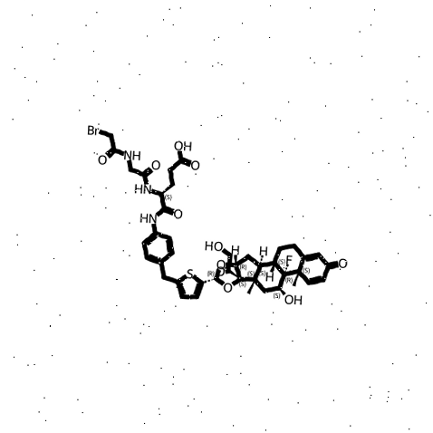 C[C@]12C=CC(=O)C=C1CC[C@H]1[C@@H]3C[C@H]4O[C@@H](c5ccc(Cc6ccc(NC(=O)[C@H](CCC(=O)O)NC(=O)CNC(=O)CBr)cc6)s5)O[C@@]4(C(=O)CO)[C@@]3(C)C[C@H](O)[C@@]12F